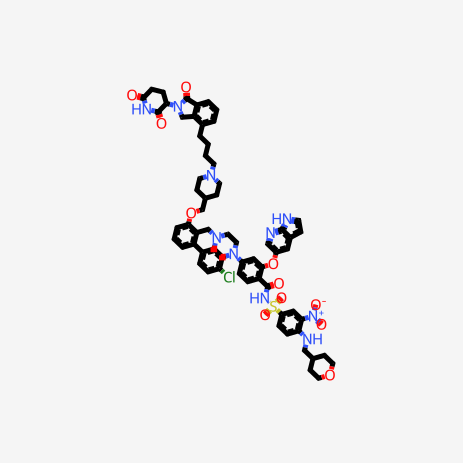 O=C1CCC(N2Cc3c(CCCCN4CCC(COc5cccc(-c6ccc(Cl)cc6)c5CN5CCN(c6ccc(C(=O)NS(=O)(=O)c7ccc(NCC8CCOCC8)c([N+](=O)[O-])c7)c(Oc7cnc8[nH]ccc8c7)c6)CC5)CC4)cccc3C2=O)C(=O)N1